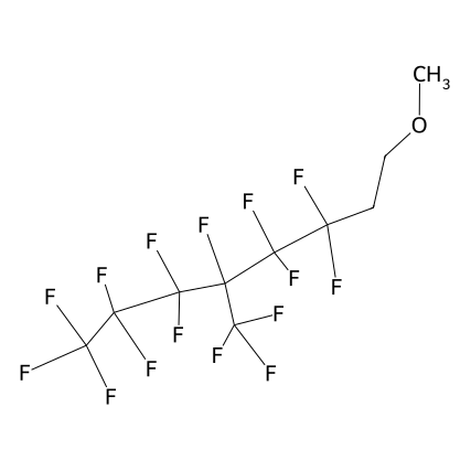 COCCC(F)(F)C(F)(F)C(F)(C(F)(F)F)C(F)(F)C(F)(F)C(F)(F)F